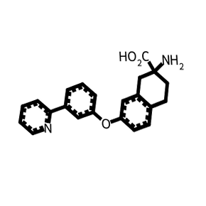 NC1(C(=O)O)CCc2ccc(Oc3cccc(-c4ccccn4)c3)cc2C1